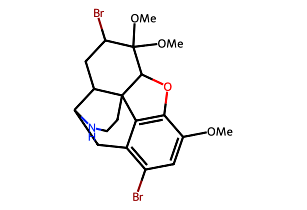 COc1cc(Br)c2c3c1OC1C(OC)(OC)C(Br)CC4C(C2)NCCC341